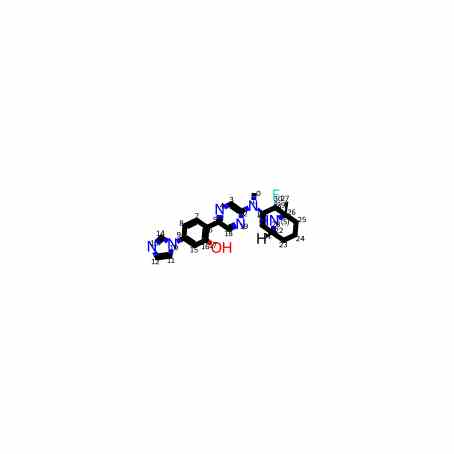 CN(c1cnc(-c2ccc(-n3ccnc3)cc2O)cn1)[C@@H]1C[C@H]2CCC[C@](C)(N2)[C@@H]1F